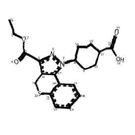 CCOC(=O)c1nn(C2CCC(C(=O)O)CC2)c2c1CSc1ccccc1-2